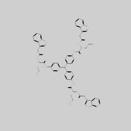 NCC[C@H](NC(=O)Cc1c[nH]c2ccccc12)C(=O)Nc1ccc(C(c2ccc(NC(=O)[C@H](CCN)NC(=O)Cc3c[nH]c4ccccc34)cc2)c2ccc(NC(=O)[C@H](CCN)NC(=O)Cc3c[nH]c4ccccc34)cc2)cc1